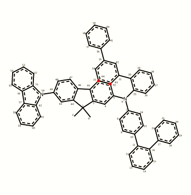 CC1(C)c2cc(N(c3ccc(-c4ccccc4-c4ccccc4)cc3)c3ccccc3-c3cccc(-c4ccccc4)c3)ccc2-c2ccc(-n3c4ccccc4c4ccccc43)cc21